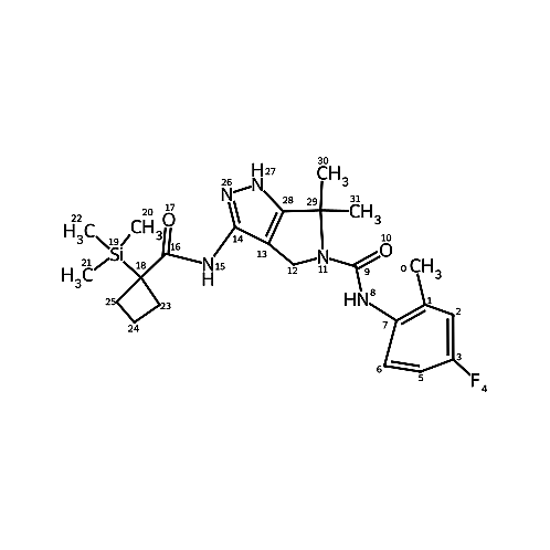 Cc1cc(F)ccc1NC(=O)N1Cc2c(NC(=O)C3([Si](C)(C)C)CCC3)n[nH]c2C1(C)C